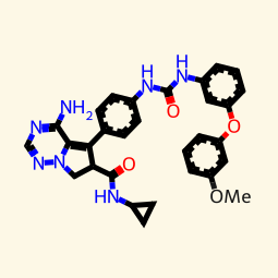 COc1cccc(Oc2cccc(NC(=O)Nc3ccc(C4=C5C(N)=NC=NN5CC4C(=O)NC4CC4)cc3)c2)c1